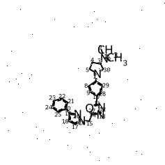 CN(C)C1CCN(c2ccc(-c3nnc(Cn4ccc(-c5ccccc5)n4)o3)cc2)C1